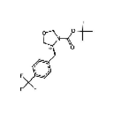 CC(C)(C)OC(=O)N1COC[C@@H]1Cc1ccc(C(F)(F)F)cc1